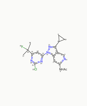 CC(=O)Nc1cc2c(cn1)c(C1CC1)nn2-c1cc(C(C)(C)F)nc(Cl)n1